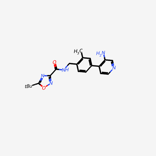 Cc1cc(-c2ccncc2N)ccc1CNC(=O)c1noc(C(C)(C)C)n1